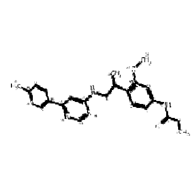 CCC(=O)Nc1ccc(C(C)CNc2cc(-c3ccc(C)nc3)ncn2)c(OC)c1